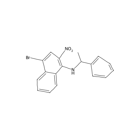 CC(Nc1c([N+](=O)[O-])cc(Br)c2ccccc12)c1ccccc1